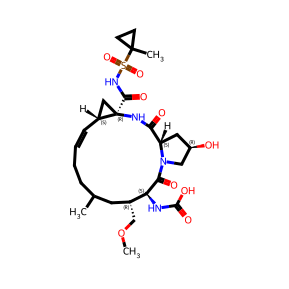 COC[C@@H]1CC(C)CCC=C[C@@H]2C[C@@]2(C(=O)NS(=O)(=O)C2(C)CC2)NC(=O)[C@@H]2C[C@@H](O)CN2C(=O)[C@H]1NC(=O)O